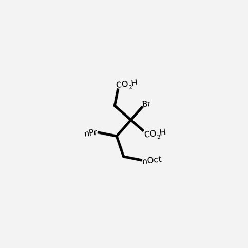 CCCCCCCCCC(CCC)C(Br)(CC(=O)O)C(=O)O